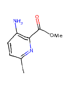 COC(=O)c1nc(C)ccc1N